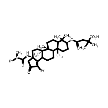 CC(C)C1=C2C3CCC4C5(C)CC[C@H](OC(=O)CC(C)(C)C(=O)O)C(C)(C)C5CC[C@@]4(C)[C@]3(C)CC[C@@]2(NC(=O)N(C)C(C)C)CC1=O